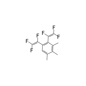 Cc1cc(C(F)=C(F)F)c(C(F)=C(F)F)c(C)c1C